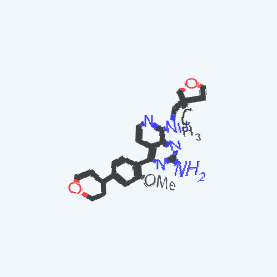 COc1cc(C2CCOCC2)ccc1-c1nc(N)nc2c(NCC3(C)CCOC3)nccc12